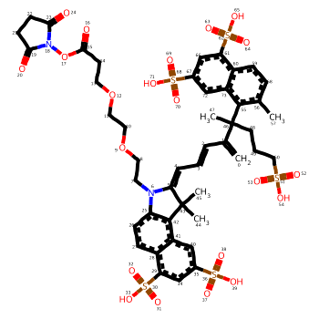 C=C(/C=C/C=C1/N(CCOCCOCCC(=O)ON2C(=O)CCC2=O)c2ccc3c(S(=O)(=O)O)cc(S(=O)(=O)O)cc3c2C1(C)C)C(C)(CCCS(=O)(=O)O)c1c(C)ccc2c(S(=O)(=O)O)cc(S(=O)(=O)O)cc12